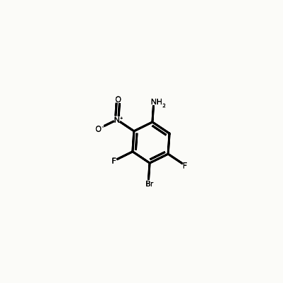 Nc1cc(F)c(Br)c(F)c1[N+](=O)[O-]